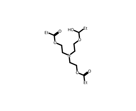 CCC(=O)OCCN(CCOC(=O)CC)CCOC(O)CC